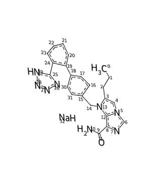 CCCc1cn2cnc(C(N)=O)c2n1Cc1ccc(-c2ccccc2-c2nnn[nH]2)cc1.[NaH]